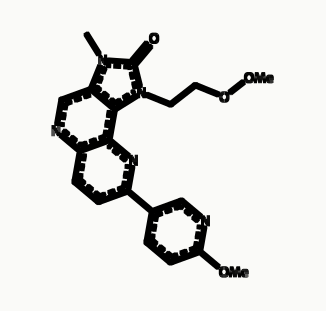 COOCCn1c(=O)n(C)c2cnc3ccc(-c4ccc(OC)nc4)nc3c21